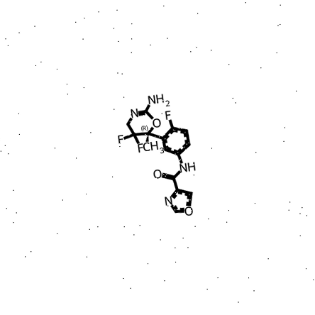 C[C@]1(c2cc(NC(=O)c3cocn3)ccc2F)OC(N)=NCC1(F)F